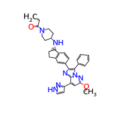 C=CC(=O)N1CCC(N[C@H]2CCc3cc(-c4nc5c(-c6cc[nH]n6)cc(OC)nn5c4-c4ccccc4)ccc32)CC1